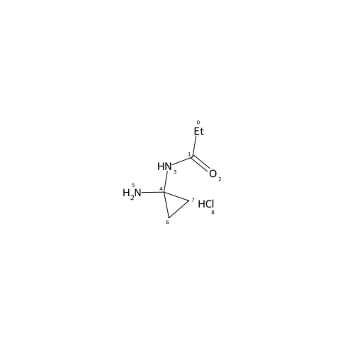 CCC(=O)NC1(N)CC1.Cl